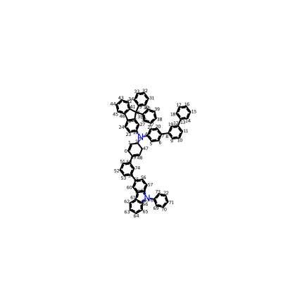 C1=CC(N(c2ccc(-c3cccc(-c4ccccc4)c3)cc2)c2ccc3c(c2)C(c2ccccc2)(c2ccccc2)c2ccccc2-3)CC=C1c1cccc(-c2ccc3c(c2)c2ccccc2n3-c2ccccc2)c1